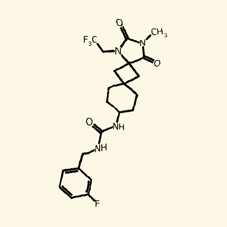 CN1C(=O)N(CC(F)(F)F)C2(CC3(CCC(NC(=O)NCc4cccc(F)c4)CC3)C2)C1=O